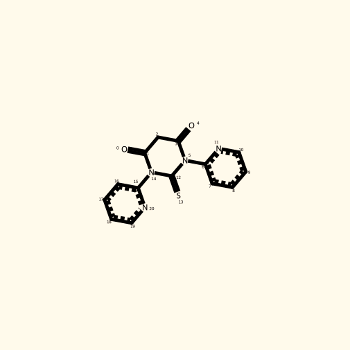 O=C1CC(=O)N(c2ccccn2)C(=S)N1c1ccccn1